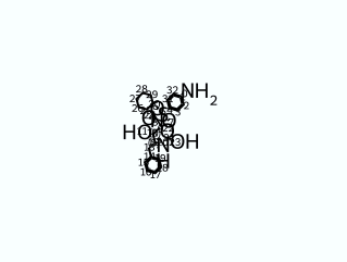 Nc1ccc(S(=O)(=O)N(C[C@@H](O)[C@H](Cc2ccccc2)NC(=O)O)OC2CCCCC2)cc1